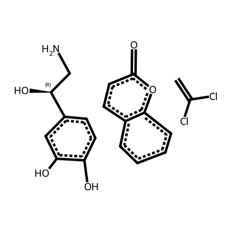 C=C(Cl)Cl.NC[C@H](O)c1ccc(O)c(O)c1.O=c1ccc2ccccc2o1